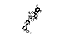 Cc1c(C(NC(=O)Nc2cnc(N3CCO[C@H](C)C3)nc2)C(F)(F)F)oc2c(F)cc(F)cc12